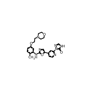 Cc1ccc(OCCN2CCOCC2)cc1Nc1ncc(-c2ccnc(-n3nc[nH]c3=O)c2)o1